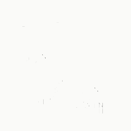 C[C@H]1CC2CC(S(=O)(=O)c3cc(C(=O)Nc4cc(F)c(F)c(F)c4)ccc3Cl)CC1[C@@]2(O)c1ncc[nH]1